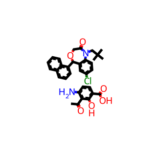 CC(=O)c1c(N)ccc(C(=O)O)c1O.CC(C)(C)CN1C(=O)COC(c2cccc3ccccc23)c2cc(Cl)ccc21